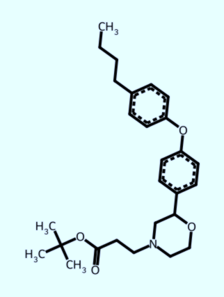 CCCCc1ccc(Oc2ccc(C3CN(CCC(=O)OC(C)(C)C)CCO3)cc2)cc1